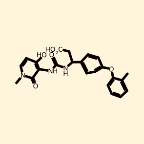 Cc1ccccc1Oc1ccc(C(CC(=O)O)NC(=O)Nc2c(O)ccn(C)c2=O)cc1